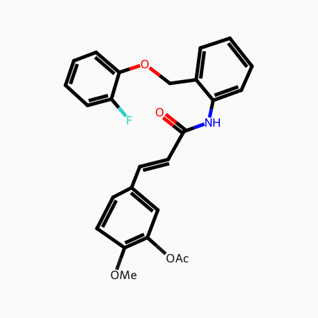 COc1ccc(C=CC(=O)Nc2ccccc2COc2ccccc2F)cc1OC(C)=O